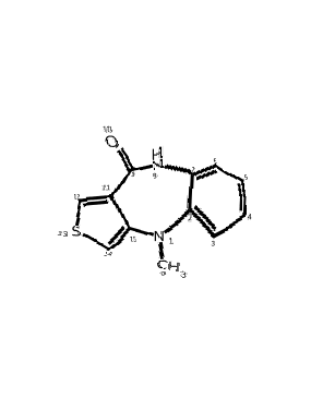 CN1c2ccccc2NC(=O)c2cscc21